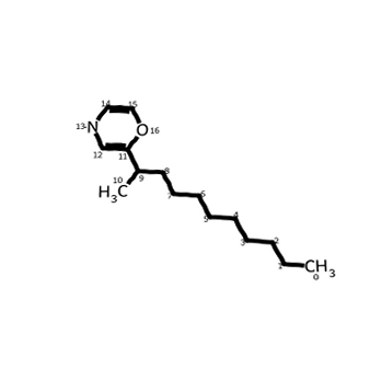 CCCCCCCCCC(C)C1=C[N]C=CO1